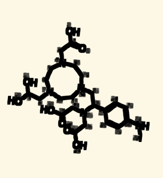 O=C(O)CN1CCN(CC(O)O)CCN(CC(c2ccc(NI)cc2)N(CC(=O)O)CC(=O)O)CC1